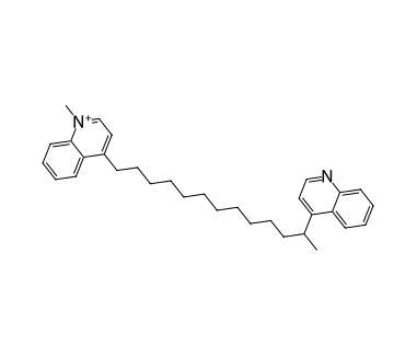 CC(CCCCCCCCCCCc1cc[n+](C)c2ccccc12)c1ccnc2ccccc12